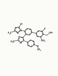 Cc1nc(-c2ccc(OC(F)(F)F)cc2)c(-c2cc(-c3cc(C)c(CO)c(F)c3)ccc2-n2nc(C(F)(F)F)cc2Cl)o1